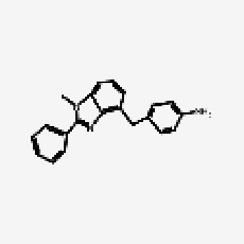 Cn1c(-c2ccccc2)nc2c(Cc3ccc(N)cc3)cccc21